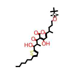 CCCCCCc1ccc(C(O)C(C)C(=O)c2c(O)cc(C(C)CCCO[Si](C)(C)C(C)(C)C)oc2=O)s1